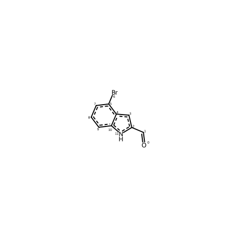 O=Cc1cc2c(Br)cccc2[nH]1